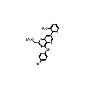 COCc1nc(Nc2ccc(C#N)cc2)c2ncc(-c3ncccc3C(F)(F)F)cc2n1